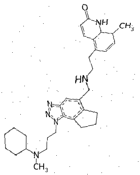 CC1C=CC(CCNCc2cc3nnn(CCCN(C)C4CCCCC4)c3c3c2CCC3)=C2C=CC(=O)NC21